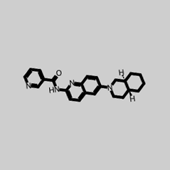 O=C(Nc1ccc2cc(N3CC[C@H]4CCCC[C@@H]4C3)ccc2n1)c1cccnc1